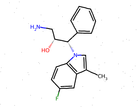 Cc1cn([C@@H](c2ccccc2)[C@H](O)CN)c2ccc(F)cc12